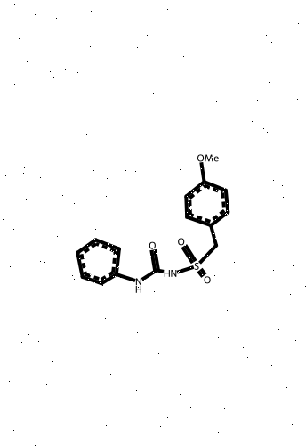 COc1ccc(CS(=O)(=O)NC(=O)Nc2ccccc2)cc1